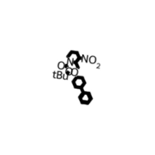 CC(C)(C)OC(=O)N1CCCC([N+](=O)[O-])C1COC1CCC(c2ccccc2)CC1